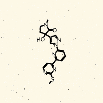 CSc1nccc(-c2cccc(-n3cc(C4(O)CCN(C)C4=O)cn3)n2)n1